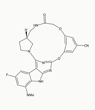 CNc1cc(F)cc2c1[nH]c1nc3nc(c12)N1CC[C@H](CNC(=O)COc2cc(C#N)cc(c2)O3)C1